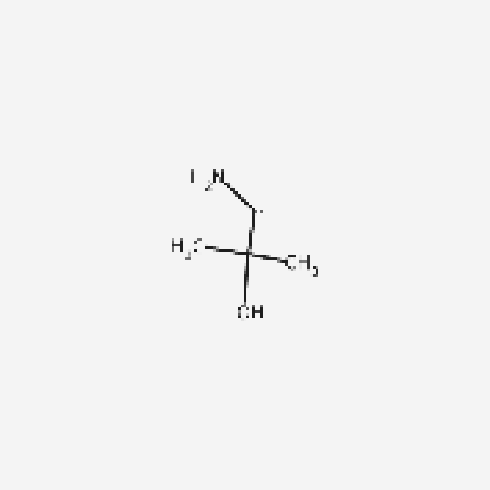 CC(C)(O)[CH]N